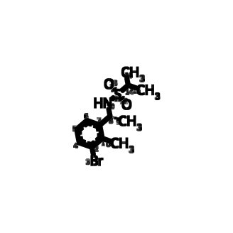 Cc1c(Br)cccc1[C@@H](C)NS(=O)(=O)C(C)C